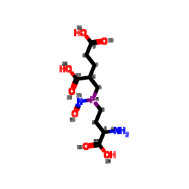 NC(CCP(CC(CCC(=O)O)C(=O)O)N=O)C(=O)O